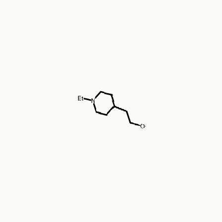 CCN1CCC(CC[O])CC1